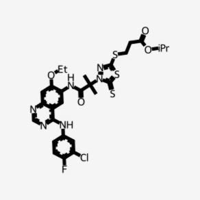 CCOc1cc2ncnc(Nc3ccc(F)c(Cl)c3)c2cc1NC(=O)C(C)(C)n1nc(SCCC(=O)OC(C)C)sc1=S